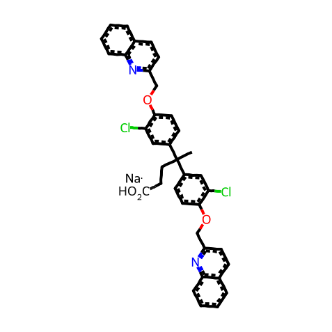 CC(CCC(=O)O)(c1ccc(OCc2ccc3ccccc3n2)c(Cl)c1)c1ccc(OCc2ccc3ccccc3n2)c(Cl)c1.[Na]